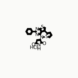 CN(C1=CC(=O)NC1=O)c1nc(-c2ccccc2)nc2scc(-c3cccs3)c12.Cl